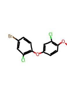 COc1ccc(Oc2ccc(Br)cc2Cl)cc1Cl